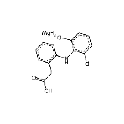 O=C(O)Cc1ccccc1Nc1c(Cl)cccc1Cl.[MgH2]